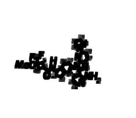 COC1(C(F)F)CC(C(=O)N[C@H]2CCc3cc(-n4c(-c5cccnc5N)nc5ccc(-n6cccn6)nc54)ccc32)C1